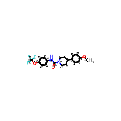 COc1ccc(C2CCN(C(=O)Nc3ccc(OC(F)(F)F)cc3)CC2)cc1